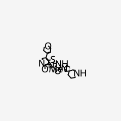 COc1ncc(C2=CCOCC2)c2sc(NC(=O)N3CC[C@]4(CCCNC4)C3)nc12